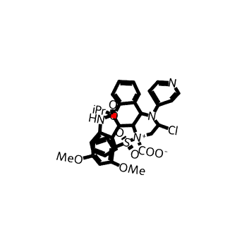 COc1ccc(S(=O)(=O)[N+]2(C(=O)[O-])CC(Cl)N(c3ccncc3)C(c3ccccc3OC(C)C)C2C2C(=O)Nc3ccccc32)c(OC)c1